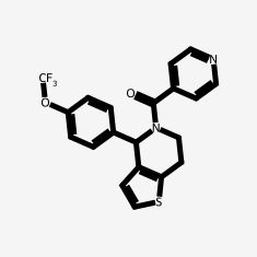 O=C(c1ccncc1)N1CCc2sccc2C1c1ccc(OC(F)(F)F)cc1